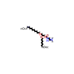 CCCCCCCC/C=C\CCCCCCCCOCC(COC(=O)NCCN(C)C)OCCCCCCCCCCCCCCCC